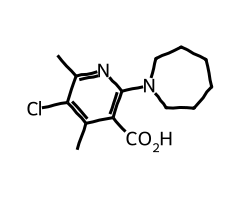 Cc1nc(N2CCCCCC2)c(C(=O)O)c(C)c1Cl